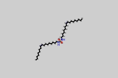 CCCCCCCC/C=C\CCCCCCCCNS(=O)(=O)NCCCCCCCC/C=C\CCCCCCCC